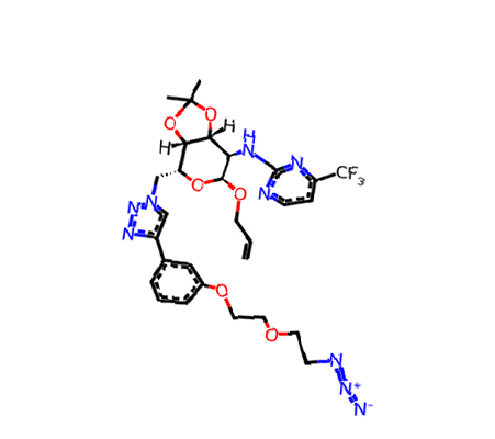 C=CCO[C@H]1O[C@H](Cn2cc(-c3cccc(OCCOCCN=[N+]=[N-])c3)nn2)[C@@H]2OC(C)(C)O[C@@H]2[C@H]1Nc1nccc(C(F)(F)F)n1